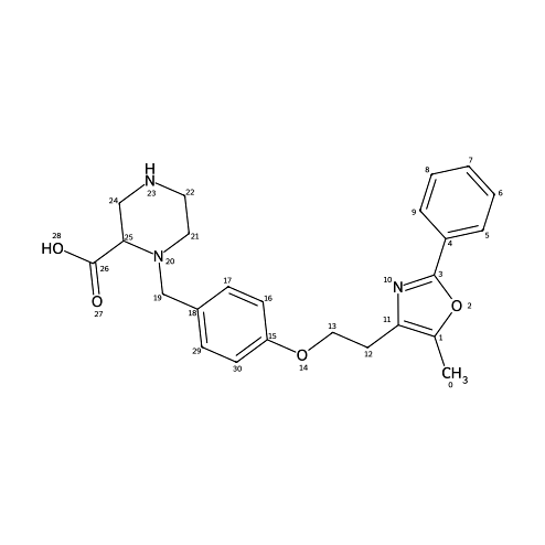 Cc1oc(-c2ccccc2)nc1CCOc1ccc(CN2CCNCC2C(=O)O)cc1